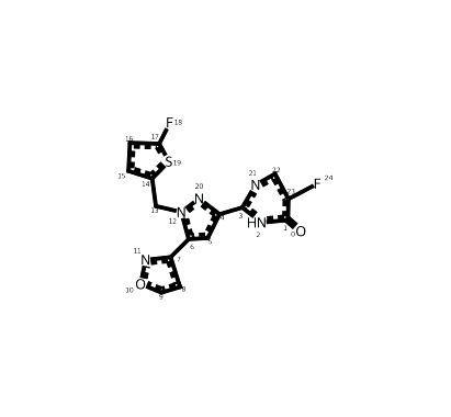 O=c1[nH]c(-c2cc(-c3ccon3)n(Cc3ccc(F)s3)n2)ncc1F